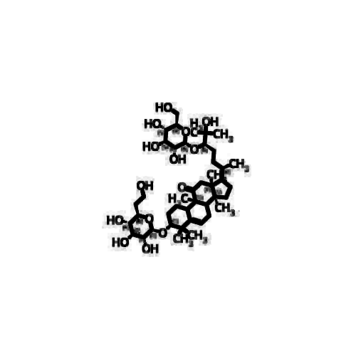 C[C@H](CC[C@@H](O[C@@H]1O[C@H](CO)[C@@H](O)[C@H](O)[C@H]1O)C(C)(C)O)C1CC[C@@]2(C)C3CC=C4C(CC[C@H](O[C@@H]5O[C@H](CCO)[C@@H](O)[C@H](O)[C@H]5O)C4(C)C)[C@]3(C)C(=O)C[C@]12C